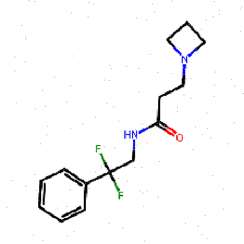 O=C(CCN1CCC1)NCC(F)(F)c1ccccc1